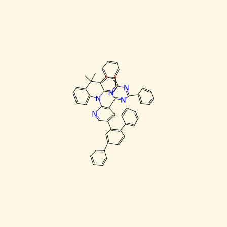 CC1(C)c2ccccc2N(c2ncc(-c3cc(-c4ccccc4)ccc3-c3ccccc3)cc2-c2nc(-c3ccccc3)nc(-c3ccccc3)n2)c2ccccc21